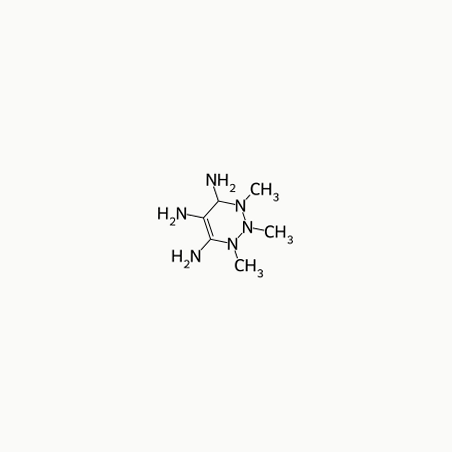 CN1C(N)=C(N)C(N)N(C)N1C